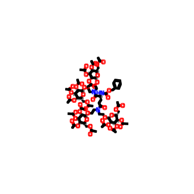 CC(=O)OC[C@H]1O[C@H](OCCN(CCO[C@H]2O[C@H](COC(C)=O)[C@@H](OC(C)=O)[C@H](OC(C)=O)[C@@H]2OC(C)=O)C(=O)CC[C@H](NC(=O)OCc2ccccc2)C(=O)N(CCO[C@H]2O[C@H](COC(C)=O)[C@@H](OC(C)=O)[C@H](OC(C)=O)[C@@H]2OC(C)=O)CCO[C@H]2O[C@H](COC(C)=O)[C@@H](OC(C)=O)[C@H](OC(C)=O)[C@@H]2OC(C)=O)[C@@H](OC(C)=O)[C@@H](OC(C)=O)[C@@H]1OC(C)=O